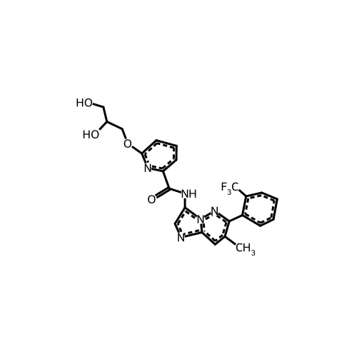 Cc1cc2ncc(NC(=O)c3cccc(OCC(O)CO)n3)n2nc1-c1ccccc1C(F)(F)F